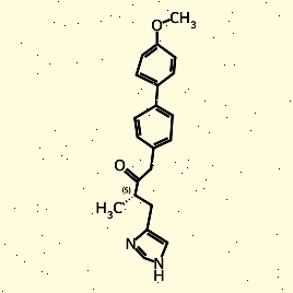 COc1ccc(-c2ccc(CC(=O)[C@@H](C)Cc3c[nH]cn3)cc2)cc1